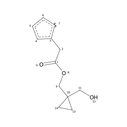 O=C(Cc1cccs1)OCC1(CO)CC1